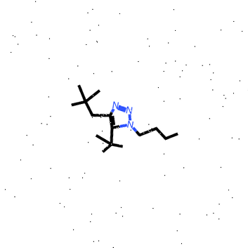 CCCCn1nnc(CC(C)(C)C)c1C(C)(C)C